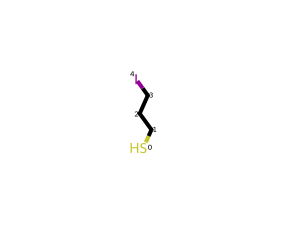 SCCCI